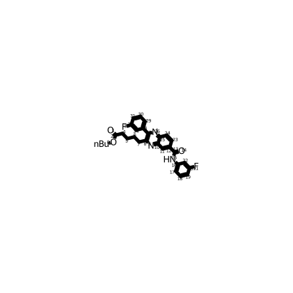 CCCCOC(=O)CCCCc1nc2cc(C(=O)Nc3cccc(F)c3)ccc2nc1-c1cccc(F)c1